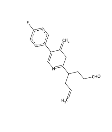 C=CCC(CCC=O)C1=NC=C(c2ccc(F)cc2)C(=C)C1